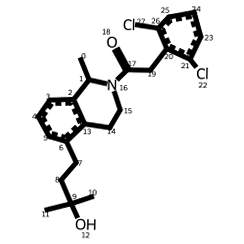 CC1c2cccc(CCC(C)(C)O)c2CCN1C(=O)Cc1c(Cl)cccc1Cl